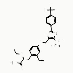 CCO[C@@H](Cc1ccc(OCc2sc(-c3ccc(C(F)(F)F)cc3)nc2S(C)(=O)=O)cc1CC)C(=O)O